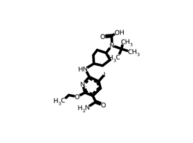 CCOc1nc(NC2CCC(N(C(=O)O)C(C)(C)C)CC2)c(I)cc1C(N)=O